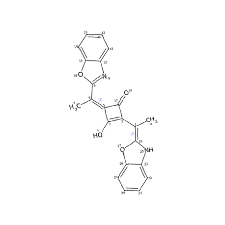 C/C(C1=C(O)/C(=C(\C)c2nc3ccccc3o2)C1=O)=C1\Nc2ccccc2O1